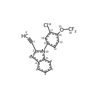 C#Cc1nc2ccccc2n1-c1ccc(OC(F)(F)F)c(Cl)c1